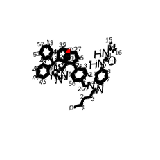 CCCCc1nc2ccc(NC(=O)NN(C)C)cc2n1Cc1ccc(-c2ccccc2-c2nnnn2C(c2ccccc2)(c2ccccc2)c2ccccc2)cc1